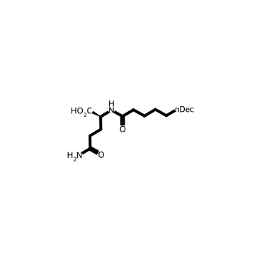 CCCCCCCCCCCCCCC(=O)N[C@@H](CCC(N)=O)C(=O)O